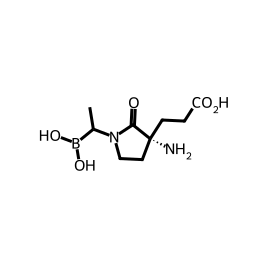 CC(B(O)O)N1CC[C@](N)(CCC(=O)O)C1=O